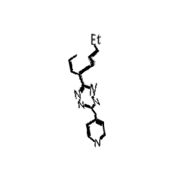 C\C=C/C(=C\C=C\CC)c1nnc(-c2ccncc2)nn1